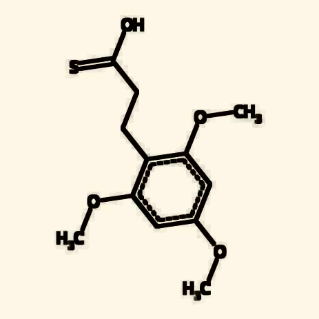 COc1cc(OC)c(CCC(O)=S)c(OC)c1